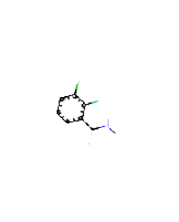 CCN[C@H](C)c1cccc(Cl)c1F